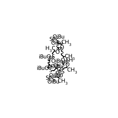 CC(C)COP(=S)(OCC(C)C)SCC(C)OP(=S)(OC(C)CSP(=S)(OCC(C)C)OCC(C)C)SCC(C)OP(=S)(S)OC(C)CSP(=S)(OC(C)CSP(=S)(OCC(C)C)OCC(C)C)OC(C)CSP(=S)(OCC(C)C)OCC(C)C